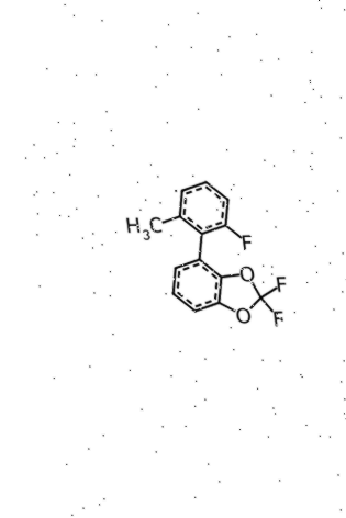 Cc1[c]ccc(F)c1-c1cccc2c1OC(F)(F)O2